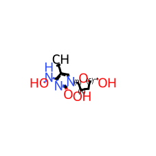 C#Cc1cn([C@@H]2O[C@H](CO)C[C@H]2O)c(=O)nc1NO